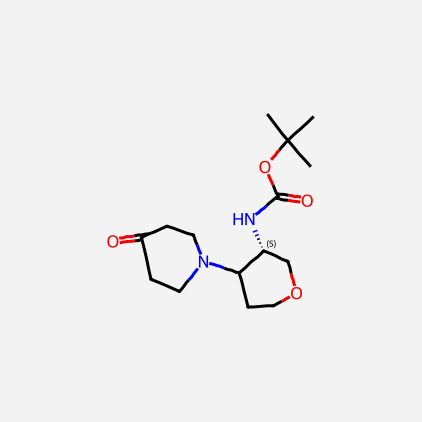 CC(C)(C)OC(=O)N[C@@H]1COCCC1N1CCC(=O)CC1